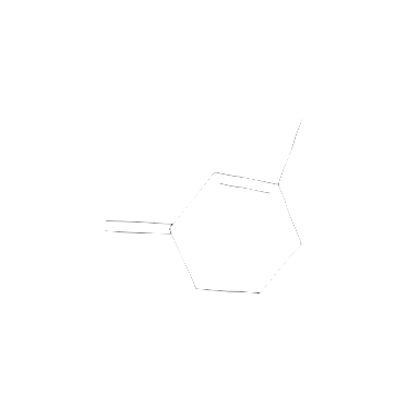 C=C1C=C(C)CCC1